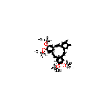 Cc1cc2c(cc1C)C#Cc1cc(O[Si](C)(C)C(C)(C)C)c(O[Si](C)(C)C(C)(C)C)cc1C#Cc1cc(O[Si](C)(C)C(C)(C)C)c(O[Si](C)(C)C(C)(C)C)cc1C#C2